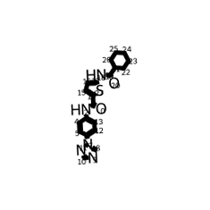 O=C(Nc1ccc(-n2cncn2)cc1)c1ccc(NC(=O)C2CCCCC2)s1